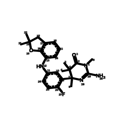 CN1C(=O)C(C)(C)C(C)(c2cc(Nc3cccc4c3OC(C)(C)C4)ccc2F)N=C1N